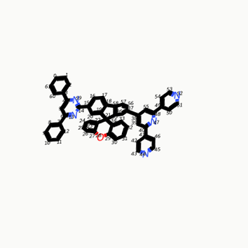 c1ccc(-c2cc(-c3ccccc3)nc(-c3ccc4c(c3)C3(c5ccccc5Oc5ccccc53)c3cc(-c5cc(-c6ccncc6)nc(-c6ccncc6)c5)ccc3-4)n2)cc1